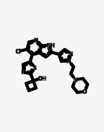 OC1(c2ncc(-c3c(Cl)cnc4[nH]c(-c5cnn(CCN6CCOCC6)c5)cc34)s2)CCC1